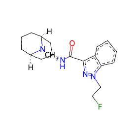 CN1[C@@H]2CCC[C@H]1C[C@H](NC(=O)c1nn(CCF)c3ccccc13)C2